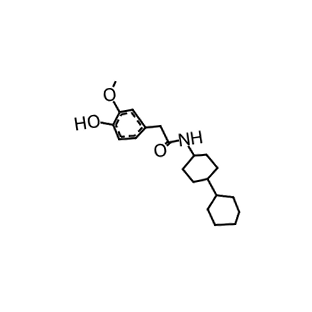 COc1cc(CC(=O)NC2CCC(C3CCCCC3)CC2)ccc1O